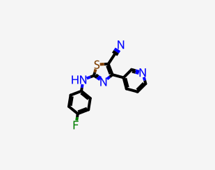 N#Cc1sc(Nc2ccc(F)cc2)nc1-c1cccnc1